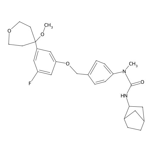 COC1(c2cc(F)cc(OCc3ccc(N(C)C(=O)NC4CC5CCC4C5)cc3)c2)CCOCC1